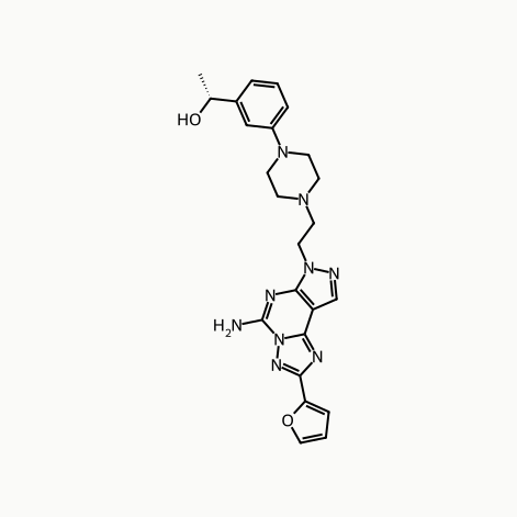 C[C@@H](O)c1cccc(N2CCN(CCn3ncc4c3nc(N)n3nc(-c5ccco5)nc43)CC2)c1